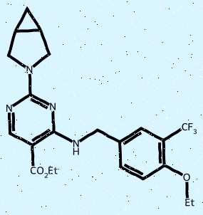 CCOC(=O)c1cnc(N2CC3CC3C2)nc1NCc1ccc(OCC)c(C(F)(F)F)c1